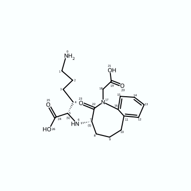 NCCCC[C@H](N[C@H]1CCCc2ccccc2N(CC(=O)O)C1=O)C(=O)O